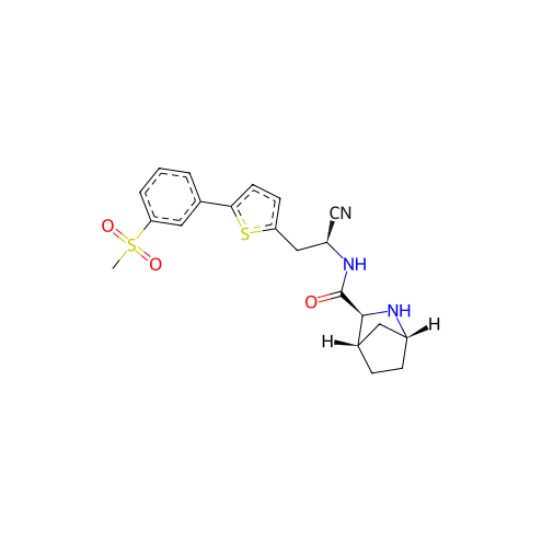 CS(=O)(=O)c1cccc(-c2ccc(C[C@@H](C#N)NC(=O)[C@H]3N[C@@H]4CC[C@H]3C4)s2)c1